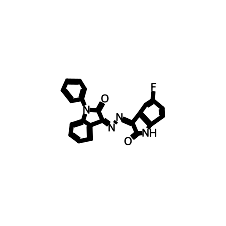 O=C1Nc2ccc(F)cc2C1=NN=C1C(=O)N(c2ccccc2)c2ccccc21